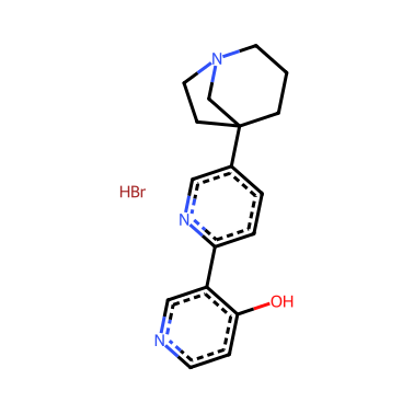 Br.Oc1ccncc1-c1ccc(C23CCCN(CC2)C3)cn1